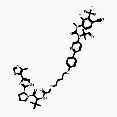 Cc1ncsc1-c1c[nH]c([C@@H]2CCCN2C(=O)C(NC(=O)COCCCCOc2ccc(-c3ccc(N(C(=S)N(C)c4ccc(C#N)c(C(F)(F)F)c4F)C(C)(C)C=O)cn3)cc2)C(C)(C)C)n1